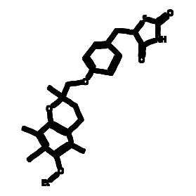 CCOc1c(C)c(C)c2c(c1C)CCC(C)(COc1ccc(CC3SC(=O)NC3=O)cc1)O2